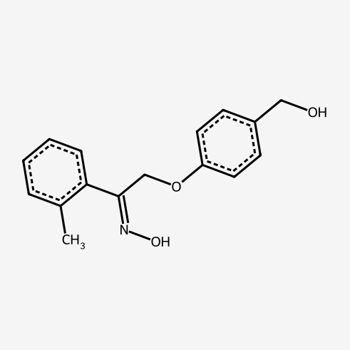 Cc1ccccc1C(COc1ccc(CO)cc1)=NO